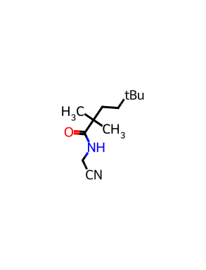 CC(C)(C)CCC(C)(C)C(=O)NCC#N